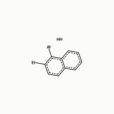 CCc1ccc2ccccc2[c]1[Al].[HH]